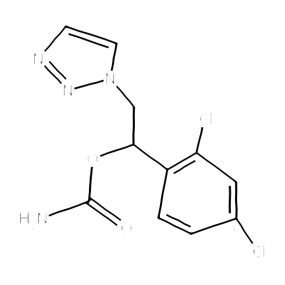 NC(=O)OC(Cn1ccnn1)c1ccc(Cl)cc1Cl